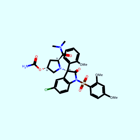 COc1ccc(S(=O)(=O)N2C(=O)[C@@](c3ccccc3OC)(N3C[C@H](OC(N)=O)C[C@H]3C(=O)N(C)C)c3cc(Cl)ccc32)c(OC)c1